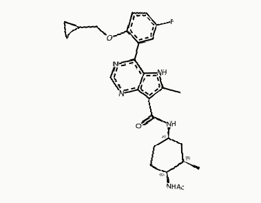 CC(=O)N[C@H]1CC[C@@H](NC(=O)c2c(C)[nH]c3c(-c4cc(F)ccc4OCC4CC4)ncnc23)C[C@H]1C